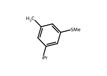 [CH2]C(C)c1cc(C)cc(SC)c1